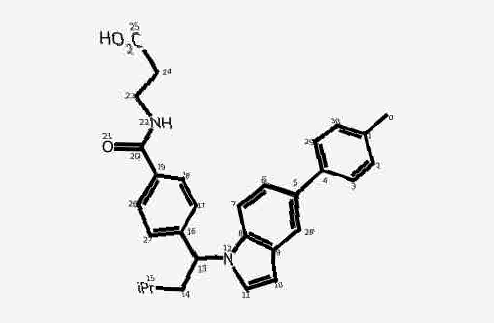 Cc1ccc(-c2ccc3c(ccn3C(CC(C)C)c3ccc(C(=O)NCCC(=O)O)cc3)c2)cc1